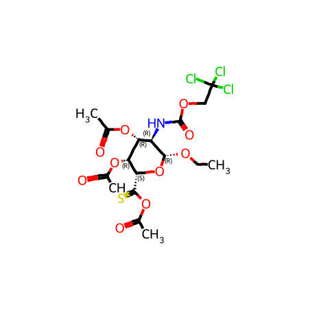 CCO[C@@H]1O[C@H](C(=S)OC(C)=O)[C@H](OC(C)=O)[C@H](OC(C)=O)[C@H]1NC(=O)OCC(Cl)(Cl)Cl